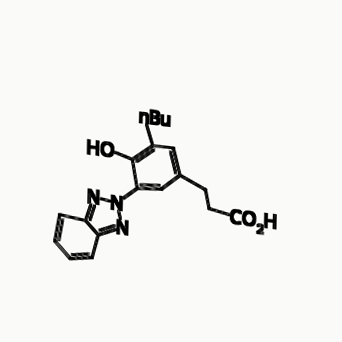 CCCCc1cc(CCC(=O)O)cc(-n2nc3ccccc3n2)c1O